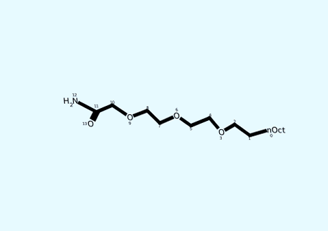 CCCCCCCCCCOCCOCCOCC(N)=O